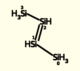 [SiH3][SiH]=[SiH][SiH3]